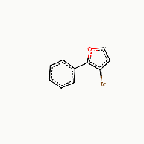 Brc1c[c]oc1-c1ccccc1